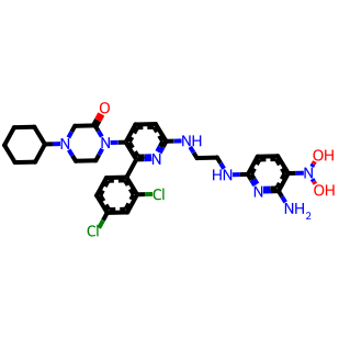 Nc1nc(NCCNc2ccc(N3CCN(C4CCCCC4)CC3=O)c(-c3ccc(Cl)cc3Cl)n2)ccc1N(O)O